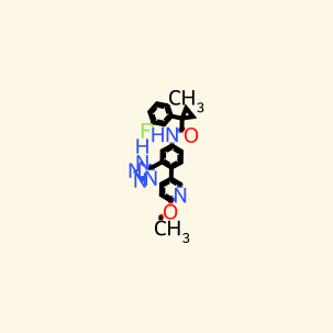 CCOc1ccc(-c2ccc(NC(=O)C3(c4cc(F)ccc4C)CC3)cc2-c2nnn[nH]2)cn1